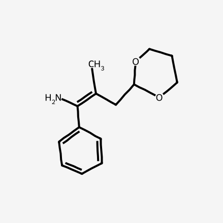 C/C(CC1OCCCO1)=C(\N)c1ccccc1